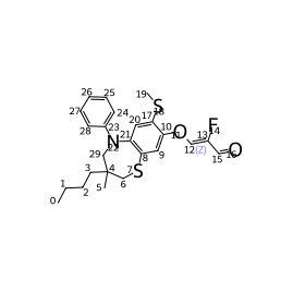 CCCCC1(C)CSc2cc(O/C=C(\F)C=O)c(SC)cc2N(c2ccccc2)C1